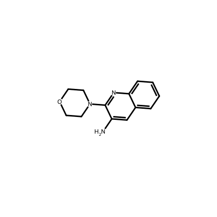 Nc1cc2ccccc2nc1N1CCOCC1